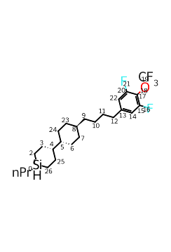 CCC[Si@H]1CC[C@H]([C@H]2CC[C@H](CCCCc3cc(F)c(OC(F)(F)F)c(F)c3)CC2)CC1